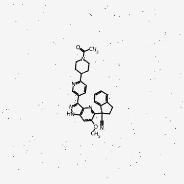 COc1cc2[nH]nc(-c3ccc(C4CCN(C(C)=O)CC4)nc3)c2nc1C1(C#N)CCc2ccccc21